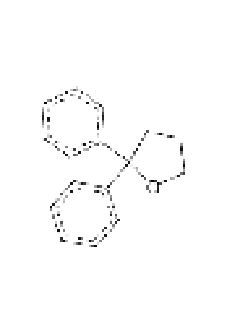 c1ccc(C2(c3ccccc3)CCCO2)cc1